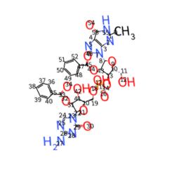 Cc1nc2c(ncn2[C@@H]2O[C@H](CO)C(OP(=O)(O)OC[C@H]3O[C@@H](n4cnc(N)nc4=O)[C@@H](OC(=O)c4ccccc4)C3O)[C@@H]2OC(=O)c2ccccc2)c(=O)[nH]1